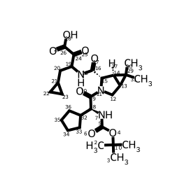 CC(C)(C)OC(=O)N[C@H](C(=O)N1CC2[C@@H]([C@H]1C(=O)NC(CC1CC1)C(=O)C(=O)O)C2(C)C)C1CCCC1